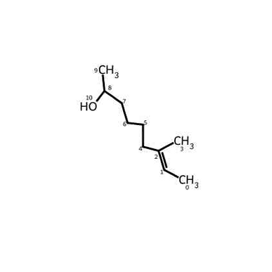 C/C=C(\C)CCCCC(C)O